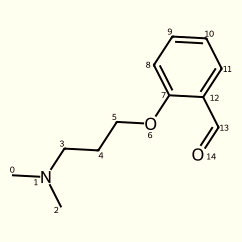 CN(C)CCCOc1ccccc1C=O